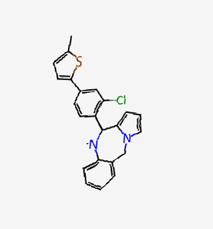 Cc1ccc(-c2ccc(C3[N]c4ccccc4Cn4cccc43)c(Cl)c2)s1